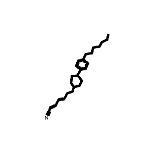 CCCCCCCc1ccc(C2CCC(CCC=CC=CC#N)CC2)cc1